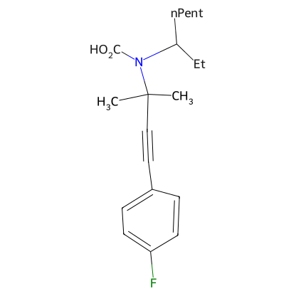 CCCCCC(CC)N(C(=O)O)C(C)(C)C#Cc1ccc(F)cc1